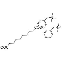 C[N+](C)(C)Cc1ccccc1.C[N+](C)(C)Cc1ccccc1.O=C([O-])CCCCCCCCC(=O)[O-]